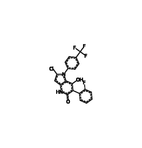 O=c1[nH]c2cc(Cl)n(-c3ccc(C(F)(F)F)cc3)c2c(O)c1-c1ccccc1F